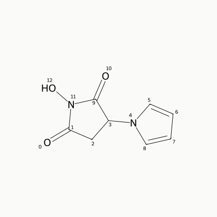 O=C1CC(n2cccc2)C(=O)N1O